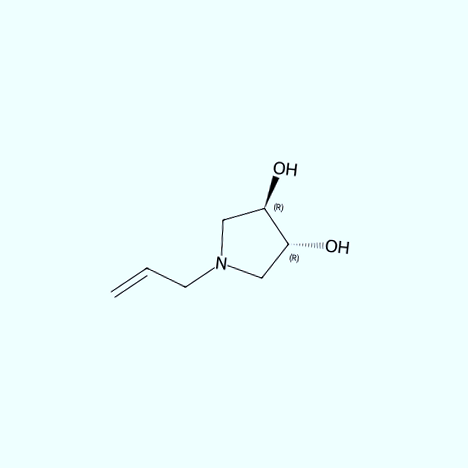 C=CCN1C[C@@H](O)[C@H](O)C1